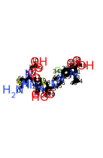 Nc1nc(/C(=N/OCC(=O)O)C(=O)N[C@@H]2C(=O)N3C(C(=O)O)=C(CN4CCN(c5cc6c(cc5F)c(=O)c(C(=O)O)cn6C5CC5)CC4)CS[C@H]23)cs1